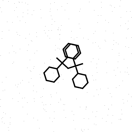 CC(CC(C)(C1CCCCC1)C1CCCCC1)(C1CCCCC1)C1CCCCC1